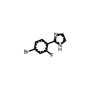 Fc1cc(Br)ccc1-c1ncc[nH]1